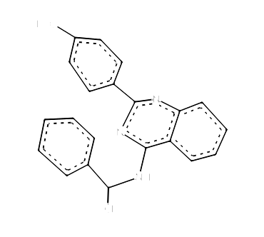 Cc1ccc(-c2nc(NC(C)c3ccccc3)c3ccccc3n2)cc1